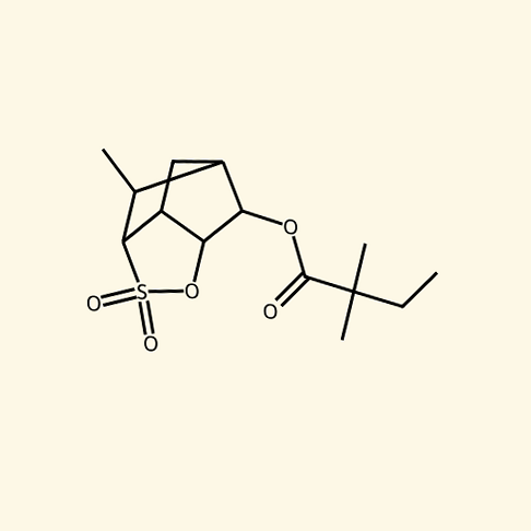 CCC(C)(C)C(=O)OC1C2CC3C1OS(=O)(=O)C3C2C